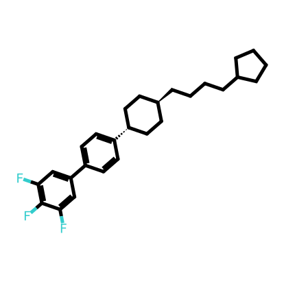 Fc1cc(-c2ccc([C@H]3CC[C@H](CCCCC4CCCC4)CC3)cc2)cc(F)c1F